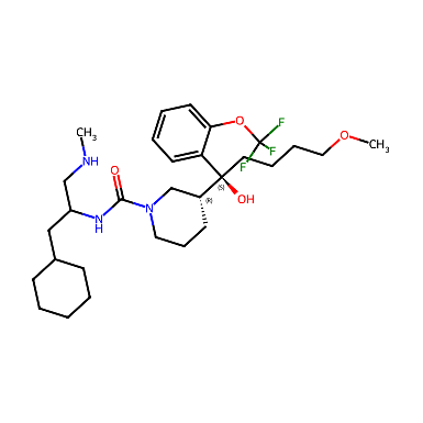 CNCC(CC1CCCCC1)NC(=O)N1CCC[C@@H]([C@@](O)(CCCCOC)c2ccccc2OC(F)(F)F)C1